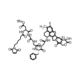 CC[C@@]1(O)C(=O)OCc2c1cc1n(c2=O)Cc2c-1nc1cc(F)c(C)c3c1c2[C@@H](NC(=O)CNC(=O)[C@H](Cc1ccccc1)NC(=O)CNC(=O)CNC(=O)C(CC(=O)OC(C)(C)C)NC(=O)CCCCCN1C(=O)C=CC1=O)CC3